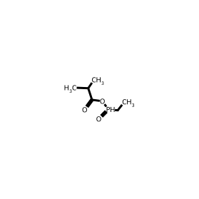 CC[PH](=O)OC(=O)C(C)C